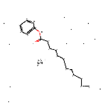 CCCCCCCCCCCC(=O)Oc1ccccc1.[NaH].[NaH]